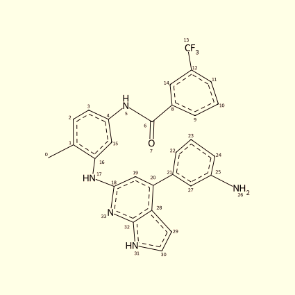 Cc1ccc(NC(=O)c2cccc(C(F)(F)F)c2)cc1Nc1cc(-c2cccc(N)c2)c2cc[nH]c2n1